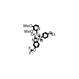 CCOc1ccc(S(=O)(=O)n2c([S+]([O-])Cc3nccc(OC)c3OC)nc3cc(OC(F)F)ccc32)cc1